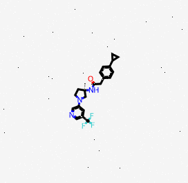 C[C@@]1(NC(=O)Cc2ccc(C3CC3)cc2)CCN(c2cncc(C(F)(F)F)c2)C1